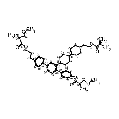 C=C(C)C(=O)OCCC1CCC(C2CCC(c3cc(-c4ccc(CCCOC(=O)C(=C)COC)cc4)ccc3-c3ccc(OC(=O)C(=C)COC)cc3)CC2)CC1